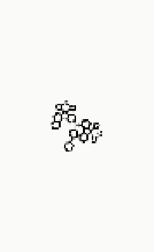 c1ccc(-c2ccc(N(c3ccc4c(c3)-c3c(ccc5ccccc35)C43c4ccccc4Sc4ccccc43)c3cccc4c3-c3ccccc3C43c4ccccc4Oc4ccccc43)cc2)cc1